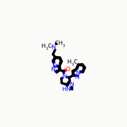 Cc1cccn2nc(C3c4nc[nH]c4CCN3C(=O)c3cnn4cc(CCN(C)C)ccc34)cc12